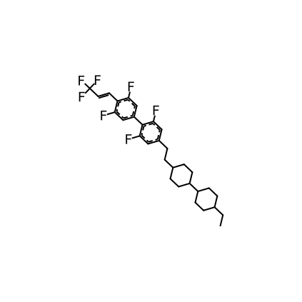 CCC1CCC(C2CCC(CCc3cc(F)c(-c4cc(F)c(/C=C/C(F)(F)F)c(F)c4)c(F)c3)CC2)CC1